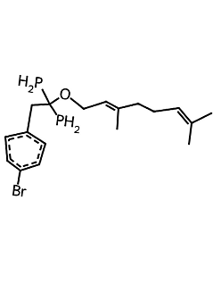 CC(C)=CCC/C(C)=C/COC(P)(P)Cc1ccc(Br)cc1